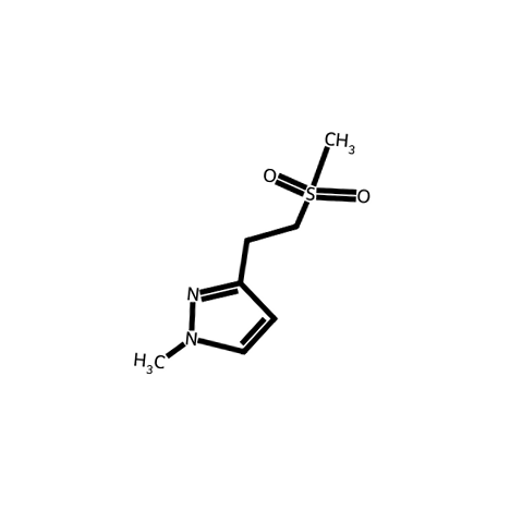 Cn1ccc(CCS(C)(=O)=O)n1